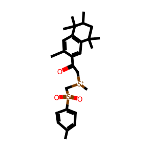 Cc1ccc(S(=O)(=O)C[S+](C)CC(=O)c2cc3c(cc2C)C(C)(C)C(C)CC3(C)C)cc1